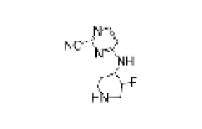 N#Cc1nccc(N[C@H]2CCNC[C@@H]2F)n1